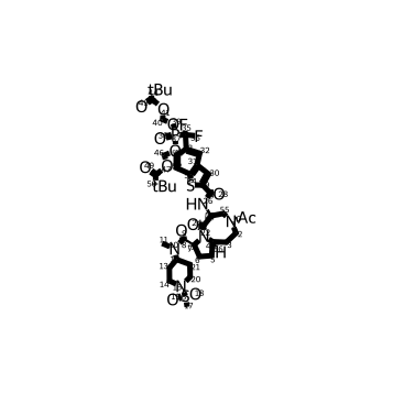 CC(=O)N1CC[C@H]2CC[C@@H](C(=O)N(C)C3CCN(S(C)(=O)=O)CC3)N2C(=O)[C@@H](NC(=O)c2cc3cc(C(F)(F)P(=O)(OCOC(=O)C(C)(C)C)OCOC(=O)C(C)(C)C)ccc3s2)C1